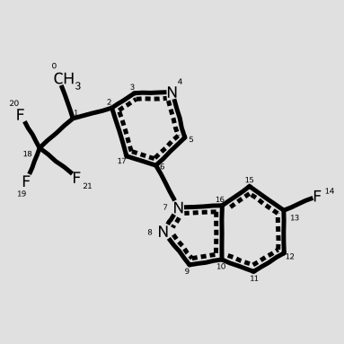 CC(c1cncc(-n2ncc3ccc(F)cc32)c1)C(F)(F)F